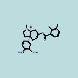 COc1ccc([C@@]23CC=C(OC(=O)c4cccc(C)c4C)C[C@@H]2N(C)CC3)cc1OC